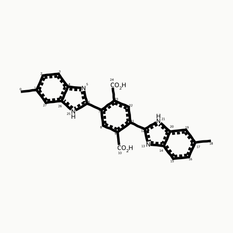 Cc1ccc2nc(-c3cc(C(=O)O)c(-c4nc5ccc(C)cc5[nH]4)cc3C(=O)O)[nH]c2c1